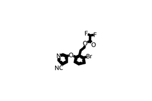 N#Cc1cncc(Oc2cccc(Br)c2CCOC(=O)C(F)F)c1